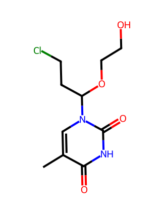 Cc1cn(C(CCCl)OCCO)c(=O)[nH]c1=O